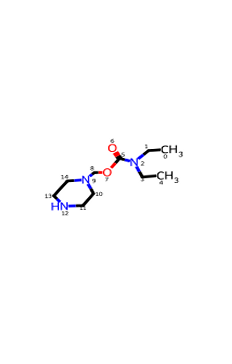 CCN(CC)C(=O)OCN1CCNCC1